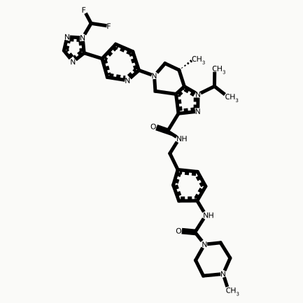 CC(C)n1nc(C(=O)NCc2ccc(NC(=O)N3CCN(C)CC3)cc2)c2c1[C@@H](C)CN(c1ccc(-c3ncnn3C(F)F)cn1)C2